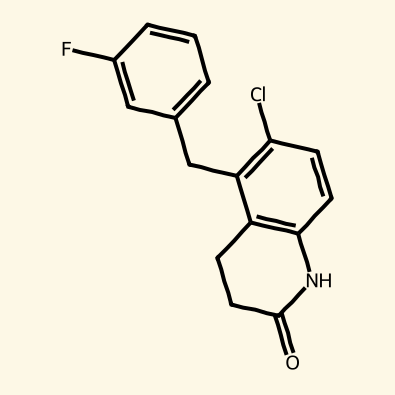 O=C1CCc2c(ccc(Cl)c2Cc2cccc(F)c2)N1